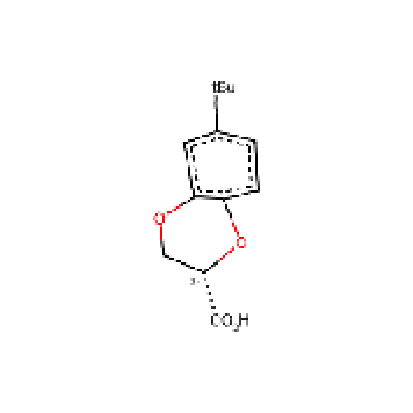 CC(C)(C)c1ccc2c(c1)OC[C@@H](C(=O)O)O2